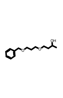 CC(O)CCOCCCOCc1ccccc1